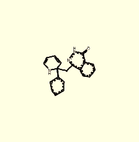 O=c1[nH]nc(CC2(c3ccccc3)C=CC=CN2)c2ccccc12